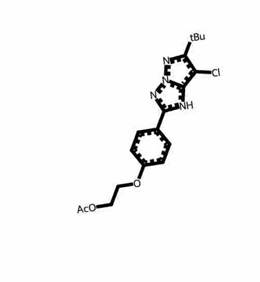 CC(=O)OCCOc1ccc(-c2nn3nc(C(C)(C)C)c(Cl)c3[nH]2)cc1